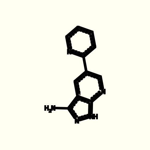 Nc1n[nH]c2ncc(-c3ccccn3)cc12